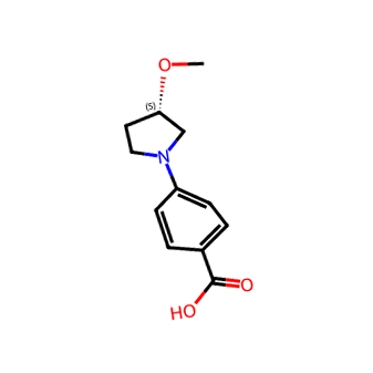 CO[C@H]1CCN(c2ccc(C(=O)O)cc2)C1